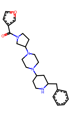 O=C(c1ccoc1)N1CCC(N2CCN(C3CCNC(Cc4ccccc4)C3)CC2)C1